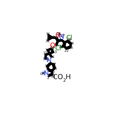 Cn1cc(C(=O)O)c2ccc(N3CCC4(CC(OCc5c(-c6c(Cl)cccc6Cl)noc5C5CC5)C4)C3)cc21